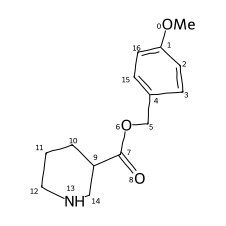 COc1ccc(COC(=O)C2CCCNC2)cc1